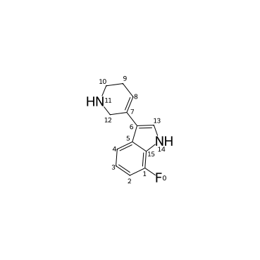 Fc1cccc2c(C3=CCCNC3)c[nH]c12